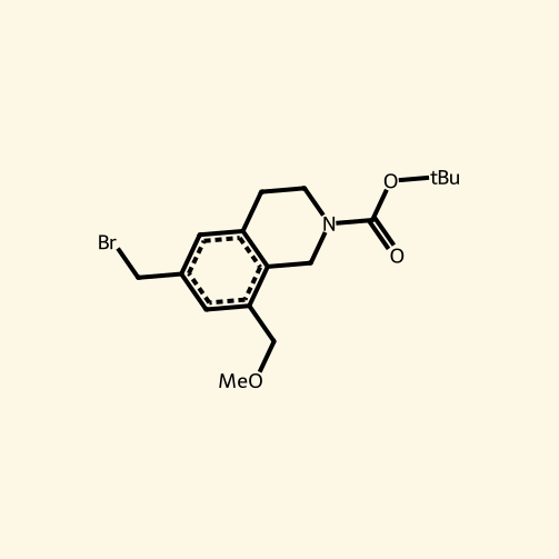 COCc1cc(CBr)cc2c1CN(C(=O)OC(C)(C)C)CC2